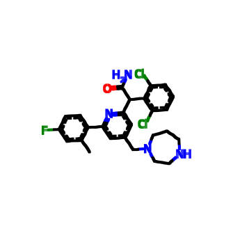 Cc1cc(F)ccc1-c1cc(CN2CCCNCC2)cc(C(C(N)=O)c2c(Cl)cccc2Cl)n1